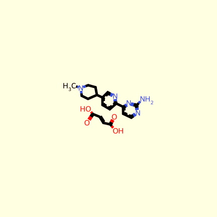 CN1CCC(c2ccc(-c3ccnc(N)n3)nc2)CC1.O=C(O)/C=C/C(=O)O